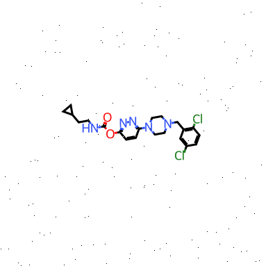 O=C(NCCC1CC1)Oc1ccc(N2CCN(Cc3cc(Cl)ccc3Cl)CC2)nn1